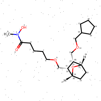 CN(O)C(=O)CCCCOC[C@@H]1[C@H](COCC2CCCC2)[C@@H]2CC[C@H]1O2